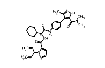 C=CC(C=C)n1nccc1C(=O)N[C@H](C(=O)Nc1ccc(-c2c(C)n[nH]c2C(=O)N(C)C)cc1)C1CCCCC1